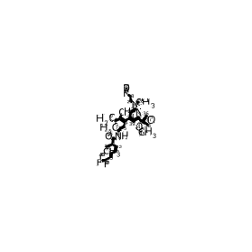 C=C/C(C)=C(\C=C(/C)NC(=O)C(/C=C\C=C\C(F)(F)F)=C/C)c1cc(N(C)CCN=O)nc(C2(OC)COC2)c1